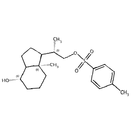 Cc1ccc(S(=O)(=O)OC[C@@H](C)C2CCC3[C@@H](O)CCC[C@]23C)cc1